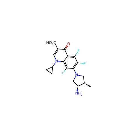 C[C@@H]1CN(c2c(F)c(F)c3c(=O)c(C(=O)O)cn(C4CC4)c3c2F)C[C@@H]1N